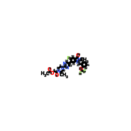 CC(=O)OCC(=O)N1CCN(c2ncc(-c3cc4c(cc3F)c(=O)n(C)n4Cc3ccccc3OC(F)F)cn2)CC1C